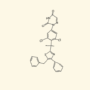 CC(C)(c1nc(-c2ccccc2)c(Cc2ccccc2)s1)c1c(Cl)cc(-n2ncc(=O)[nH]c2=O)cc1Cl